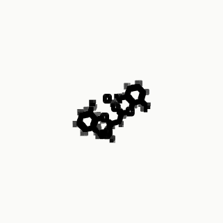 O=C(CC(=O)Oc1c(F)cccc1[N+](=O)[O-])Oc1c(F)cccc1[N+](=O)[O-]